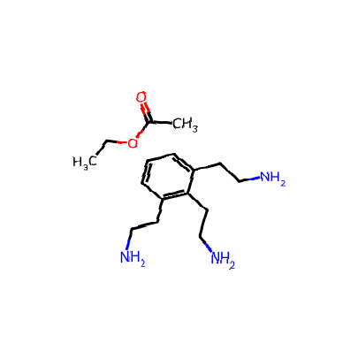 CCOC(C)=O.NCCc1cccc(CCN)c1CCN